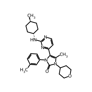 Cc1cccc(-n2c(-c3ccnc(N[C@H]4CC[C@H](C)CC4)n3)c(C)n(C3CCOCC3)c2=O)c1